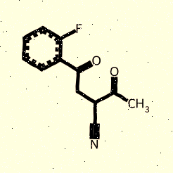 CC(=O)C(C#N)CC(=O)c1ccccc1F